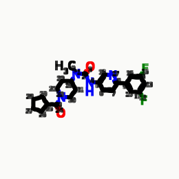 CN(C(=O)Nc1ccc(-c2cc(F)cc(F)c2)nc1)C1CCN(C(=O)C2CCCC2)CC1